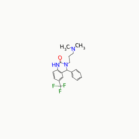 CN(C)CCCN1C(=O)Nc2ccc(C(F)(F)F)cc2C1c1ccccc1